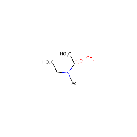 CC(=O)N(CC(=O)O)CC(=O)O.O.O